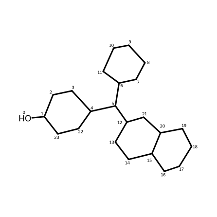 OC1CCC(C(C2CCCCC2)C2CCC3CCCCC3C2)CC1